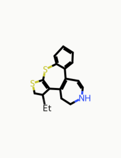 CCC1CSC2=C1C1=C(C=CNCC1)c1ccccc1S2